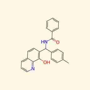 Cc1ccc(C(NC(=O)c2ccccc2)c2ccc3cccnc3c2O)cc1